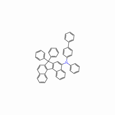 c1ccc(-c2ccc(N(c3ccccc3)c3cc4c(c5ccccc35)-c3c(ccc5ccccc35)C4(c3ccccc3)c3ccccc3)cc2)cc1